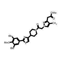 COC(=O)Cc1nn(CC(=O)N2CCC(c3csc(-c4cc(C(C)(C)C)c(OC)c(C(C)(C)C)c4)n3)CC2)cc1C